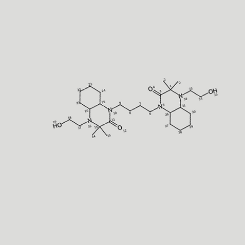 CC1(C)C(=O)N(CCCCN2C(=O)C(C)(C)N(CCO)C3CCCCC32)C2CCCCC2N1CCO